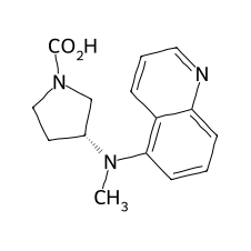 CN(c1cccc2ncccc12)[C@@H]1CCN(C(=O)O)C1